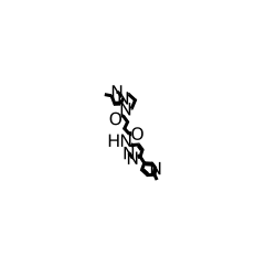 Cc1ccc(-c2ccc(NC(=O)CCC(=O)N3CCCn4nc(C)cc43)nn2)cn1